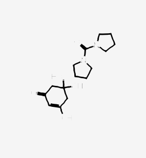 CC1=CC(=O)CC(C)(C)C1.O=C(N1CCCC1)N1CCCC1